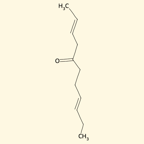 CC=CCC(=O)CCC=CCC